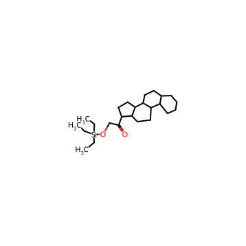 CC[Si](CC)(CC)OCC(=O)C1CCC2C1CCC1C3CCCCC3CCC12